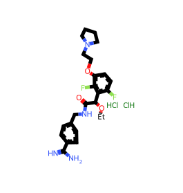 CCOC(C(=O)NCc1ccc(C(=N)N)cc1)c1c(F)ccc(OCCN2CCCC2)c1F.Cl.Cl